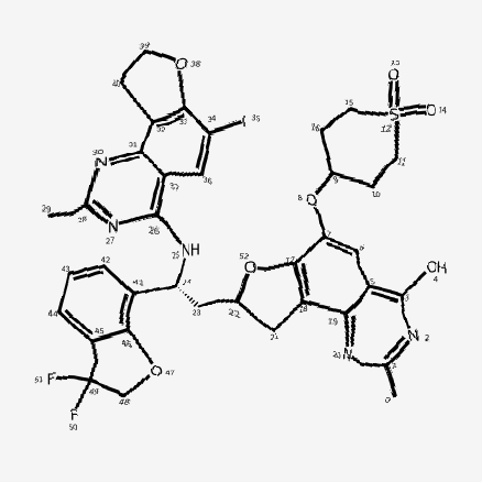 Cc1nc(O)c2cc(OC3CCS(=O)(=O)CC3)c3c(c2n1)CC(C[C@@H](Nc1nc(C)nc2c4c(c(I)cc12)OCC4)c1cccc2c1OCC2(F)F)O3